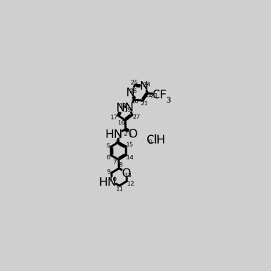 Cl.O=C(Nc1ccc(C2CNCCO2)cc1)c1cnn(-c2cc(C(F)(F)F)ncn2)c1